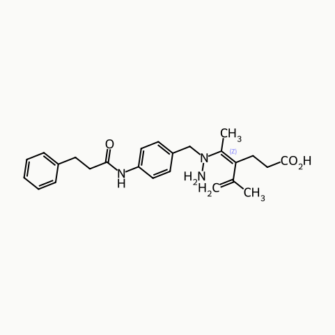 C=C(C)/C(CCC(=O)O)=C(/C)N(N)Cc1ccc(NC(=O)CCc2ccccc2)cc1